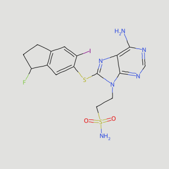 Nc1ncnc2c1nc(Sc1cc3c(cc1I)CCC3F)n2CCS(N)(=O)=O